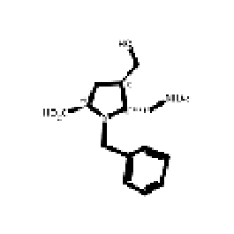 CC(=O)NC[C@H]1[C@H](CO)C[C@H](C(=O)O)N1Cc1ccccc1